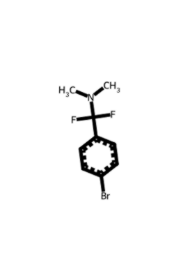 CN(C)C(F)(F)c1ccc(Br)cc1